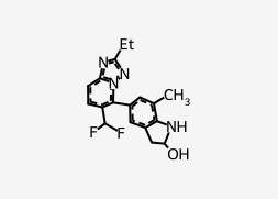 CCc1nc2ccc(C(F)F)c(-c3cc(C)c4c(c3)CC(O)N4)n2n1